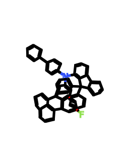 Fc1cccc(-c2cccc3cccc(-c4cccc(N(c5ccc(-c6ccccc6)cc5)c5cccc6c5C(c5ccccc5)(c5ccccc5)c5ccccc5-6)c4)c23)c1